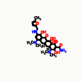 Cc1ccc(CNc2cc(N(C)C)c3c(c2O)C(=O)C2=C(O)[C@@]4(O)C(=O)C(C(N)=O)=C(O)C(N(C)C)[C@H]4C[C@H]2C3)o1